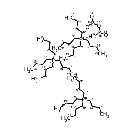 CCCC[P+](CCCC)(CCCC)CCCC.CCCC[P+](CCCC)(CCCC)CCCC.CCCC[P+](CCCC)(CCCC)CCCC.[O-]P([O-])OP([O-])O